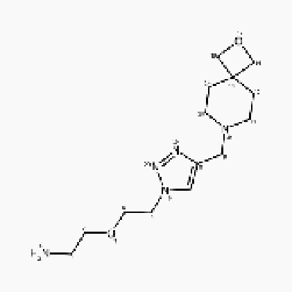 NCCOCCn1cc(CN2CCC3(CC2)COC3)nn1